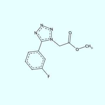 COC(=O)Cn1nnnc1-c1cccc(F)c1